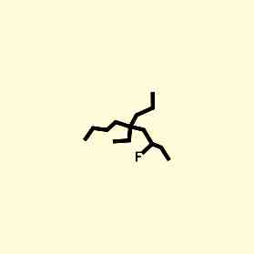 CCCCC(CC)(CCC)CC(F)CC